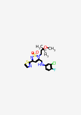 COC(C)(C)CCN1C(CNc2ccc(F)c(Cl)c2)=CC(c2nccs2)=NS1(=O)=O